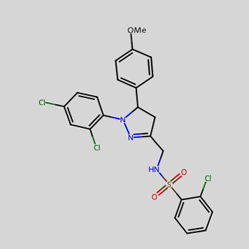 COc1ccc(C2CC(CNS(=O)(=O)c3ccccc3Cl)=NN2c2ccc(Cl)cc2Cl)cc1